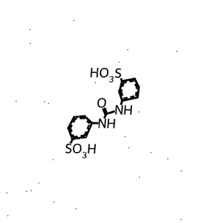 O=C(Nc1cccc(S(=O)(=O)O)c1)Nc1cccc(S(=O)(=O)O)c1